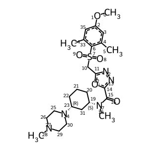 COc1cc(C)c(S(=O)(=O)Cc2nnc(C(=O)N(C)[C@H]3CCC[C@@H](N4CCN(C)CC4)C3)o2)c(C)c1